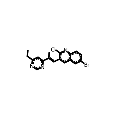 CCc1cc(/C(C)=C/c2cc3cc(Br)ccc3nc2Cl)ncn1